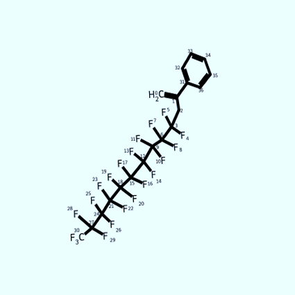 C=C(CC(F)(F)C(F)(F)C(F)(F)C(F)(F)C(F)(F)C(F)(F)C(F)(F)C(F)(F)C(F)(F)C(F)(F)F)c1ccccc1